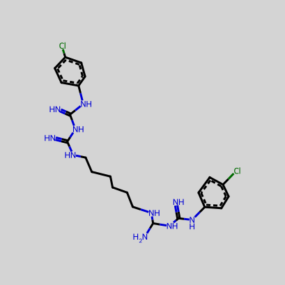 N=C(NCCCCCCNC(N)NC(=N)Nc1ccc(Cl)cc1)NC(=N)Nc1ccc(Cl)cc1